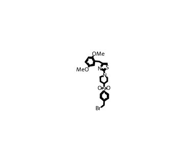 COc1ccc(OC)c(Cc2csc(N3CCC(S(=O)(=O)c4ccc(CBr)cc4)CC3)n2)c1